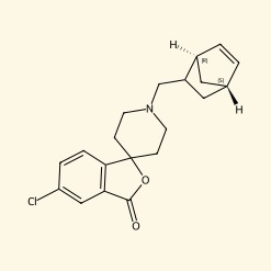 O=C1OC2(CCN(CC3C[C@H]4C=C[C@H]3C4)CC2)c2ccc(Cl)cc21